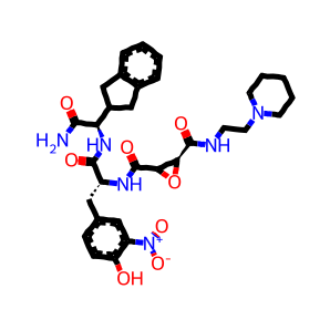 NC(=O)[C@H](NC(=O)[C@@H](Cc1ccc(O)c([N+](=O)[O-])c1)NC(=O)C1O[C@@H]1C(=O)NCCN1CCCCC1)C1Cc2ccccc2C1